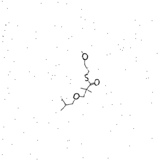 COCCSC(=O)C(C)(C)COCC(C)C